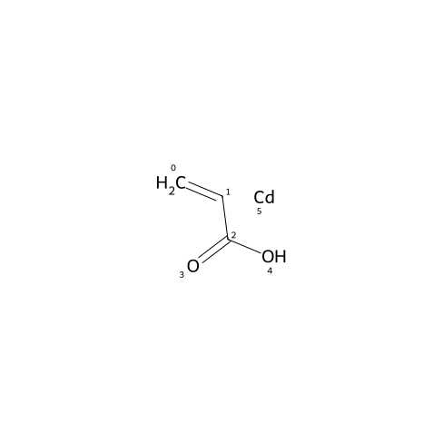 C=CC(=O)O.[Cd]